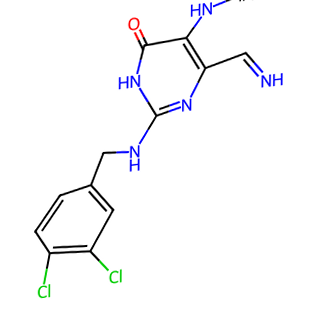 CC(C)Nc1c(C=N)nc(NCc2ccc(Cl)c(Cl)c2)[nH]c1=O